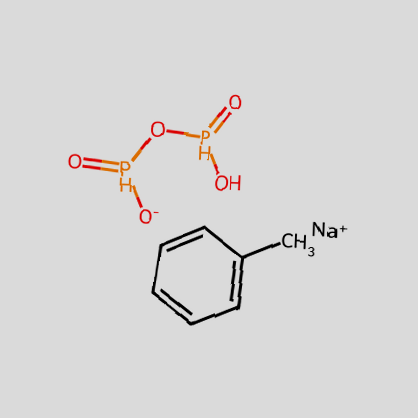 Cc1ccccc1.O=[PH]([O-])O[PH](=O)O.[Na+]